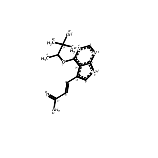 CC(Oc1ncnc2[nH]cc(/C=C/C(N)=O)c12)C(C)(C)O